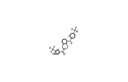 O=C(c1c[nH]c(C(F)(F)F)n1)N1CCc2c(cccc2C(F)c2ccc(C(F)(F)F)cn2)C1